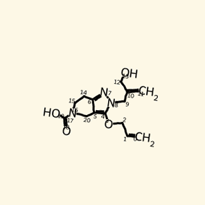 C=CCOc1c2c(nn1CC(=C)CO)CCN(C(=O)O)C2